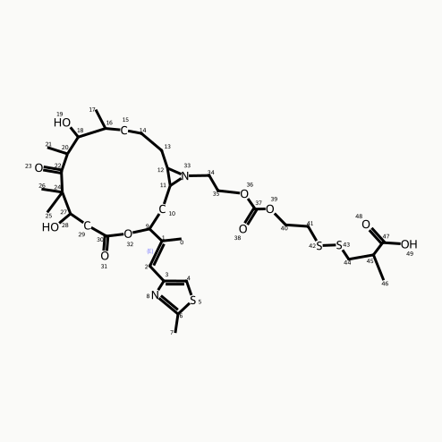 C/C(=C\c1csc(C)n1)C1CC2C(CCCC(C)C(O)C(C)C(=O)C(C)(C)C(O)CC(=O)O1)N2CCOC(=O)OCCSSCC(C)C(=O)O